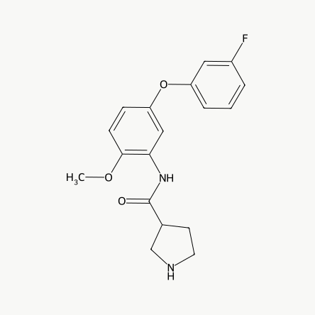 COc1ccc(Oc2cccc(F)c2)cc1NC(=O)C1CCNC1